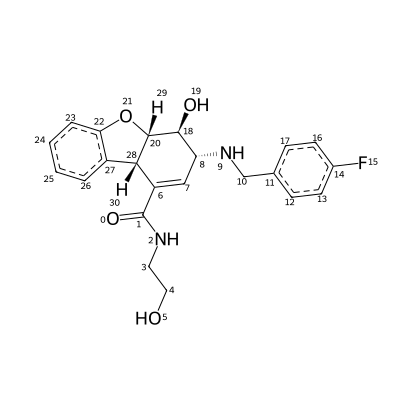 O=C(NCCO)C1=C[C@@H](NCc2ccc(F)cc2)[C@H](O)[C@H]2Oc3ccccc3[C@@H]12